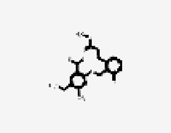 CCc1cc(C(F)F)c(OCc2c(I)cccc2CCC(=O)OC)cc1C